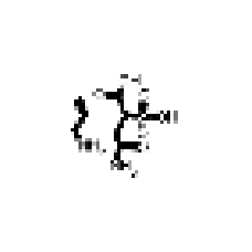 C=CCN.NC(=O)CC(C(=O)O)S(=O)(=O)O